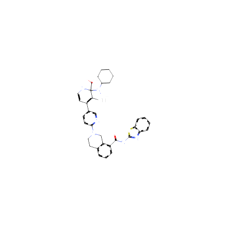 CC1=C(c2ccc(N3CCc4cccc(C(=O)Nc5nc6ccccc6s5)c4C3)nc2)C=CNC1(C(=O)O)N(C)C1CCCCC1